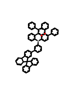 C1=CC2c3ccc(-c4cccc(N(c5ccc(-c6ccccc6)cc5)c5ccccc5-c5ccc6ccccc6c5-c5ccccc5)c4)cc3C3(c4ccccc4-c4ccccc43)C2C=C1